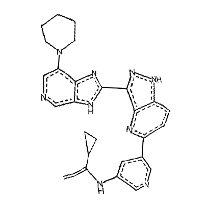 C=C(Nc1cncc(-c2ccc3[nH]nc(-c4nc5c(N6CCCCC6)cncc5[nH]4)c3n2)c1)C1CC1